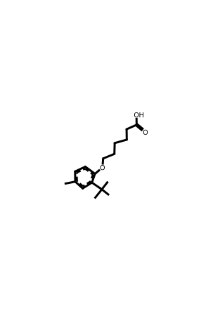 Cc1ccc(OCCCCCC(=O)O)c(C(C)(C)C)c1